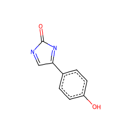 O=C1N=CC(c2ccc(O)cc2)=N1